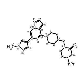 CCCN1CCN(CC2CCN(c3nc(-c4cnn(C)c4)cn4nccc34)CC2)C(=O)C1